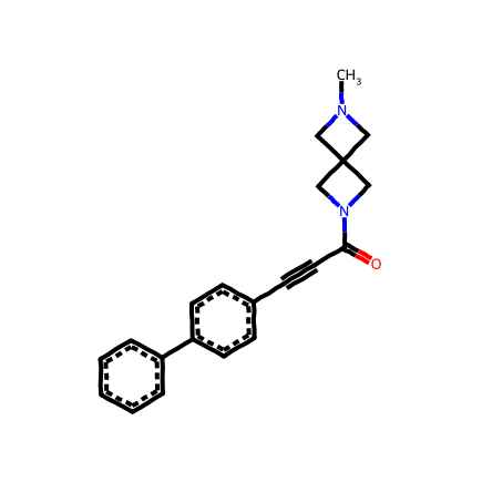 CN1CC2(C1)CN(C(=O)C#Cc1ccc(-c3ccccc3)cc1)C2